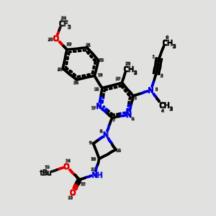 CC#CN(C)c1nc(N2CC(NC(=O)OC(C)(C)C)C2)nc(-c2ccc(OC(F)(F)F)cc2)c1C